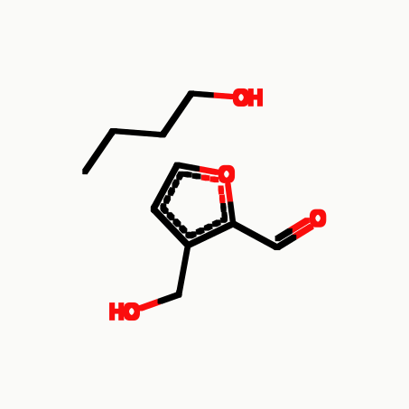 CCCCO.O=Cc1occc1CO